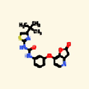 CC(C)(C)c1csc(NC(=O)Nc2cccc(Oc3ccnc4c3OC(=O)C4)c2)n1